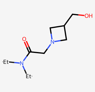 [CH2][CH]N([CH][CH2])C(=O)CN1CC(CO)C1